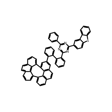 c1ccc(-c2nc(-c3ccc4sc5ccccc5c4c3)nc(-c3ccccc3-c3ccccc3-c3cc4ccc5cccc6c7cccc8ccc9cccc(c(c3)c4c56)c9c87)n2)cc1